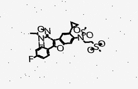 CC1NC(c2c(-c3ccc(F)cc3)oc3cc(N(CCS(C)(=O)=O)S(C)(=O)=O)c(C4CC4)cc23)=NO1